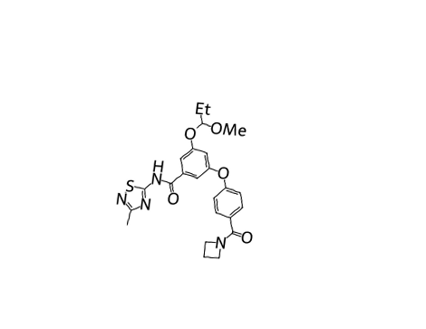 CCC(OC)Oc1cc(Oc2ccc(C(=O)N3CCC3)cc2)cc(C(=O)Nc2nc(C)ns2)c1